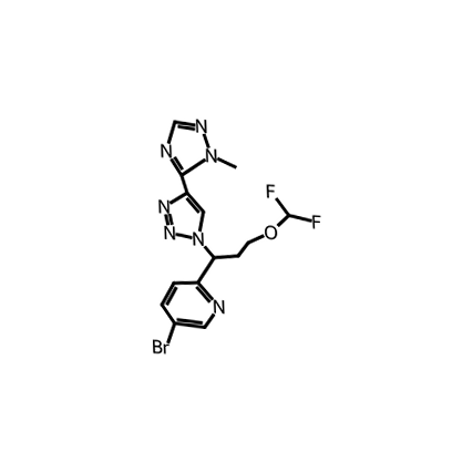 Cn1ncnc1-c1cn(C(CCOC(F)F)c2ccc(Br)cn2)nn1